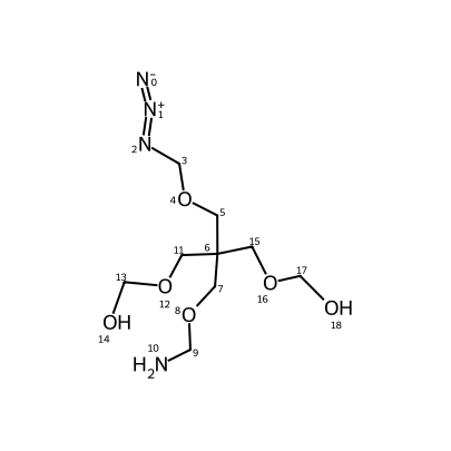 [N-]=[N+]=NCOCC(COCN)(COCO)COCO